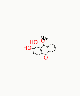 O=C1c2ccccc2C(=O)c2c1ccc(O)c2O.[Na]